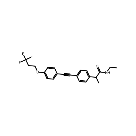 CCNC(=O)C(C)c1ccc(C#Cc2ccc(OCCC(F)(F)F)cc2)cc1